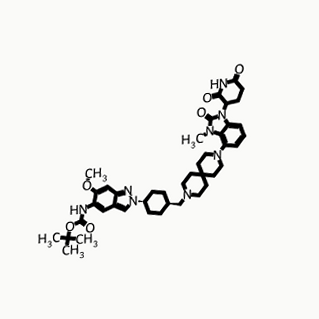 COc1cc2nn([C@H]3CC[C@H](CN4CCC5(CC4)CCN(c4cccc6c4n(C)c(=O)n6C4CCC(=O)NC4=O)CC5)CC3)cc2cc1NC(=O)OC(C)(C)C